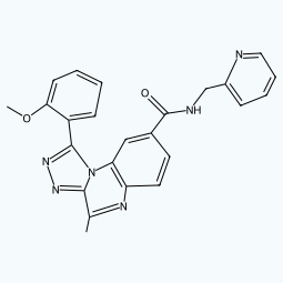 COc1ccccc1-c1nnc2c(C)nc3ccc(C(=O)NCc4ccccn4)cc3n12